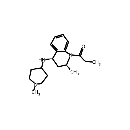 CCC(=O)N1c2ccccc2[C@H](NC2CCN(C)CC2)C[C@@H]1C